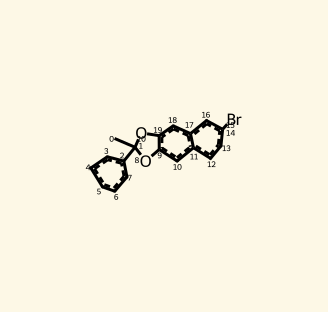 CC1(c2ccccc2)Oc2cc3ccc(Br)cc3cc2O1